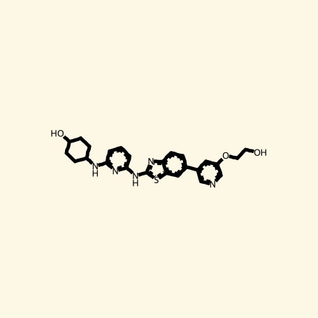 OCCOc1cncc(-c2ccc3nc(Nc4cccc(NC5CCC(O)CC5)n4)sc3c2)c1